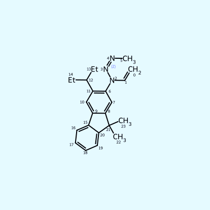 C=CN(/N=N\C)c1cc2c(cc1C(CC)CC)-c1ccccc1C2(C)C